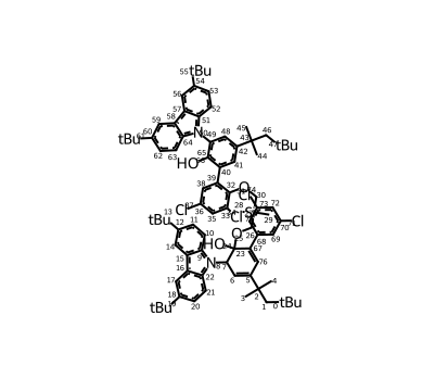 CC(C)(C)CC(C)(C)C1=CC(n2c3ccc(C(C)(C)C)cc3c3cc(C(C)(C)C)ccc32)C(O)(OC[Si](C)(C)COc2c(Cl)cc(Cl)cc2-c2cc(C(C)(C)CC(C)(C)C)cc(-n3c4ccc(C(C)(C)C)cc4c4cc(C(C)(C)C)ccc43)c2O)C(c2cc(Cl)cc(Cl)c2)=C1